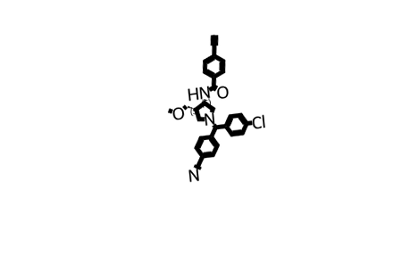 C#Cc1ccc(C(=O)N[C@@H]2CN(C(c3ccc(Cl)cc3)c3ccc(C#N)cc3)C[C@@H]2COC)cc1